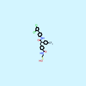 O=C(NCCSO)c1ccc(CC(C(=O)Nc2ccc(-c3ccc(Cl)cc3Cl)cc2)c2ccc(C(F)(F)F)cc2)cc1